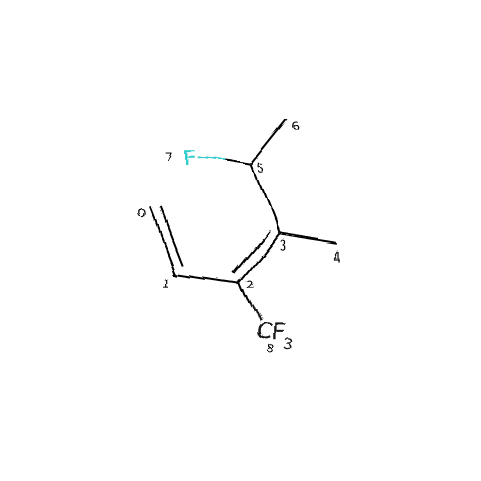 C=C/C(=C(/C)C(C)F)C(F)(F)F